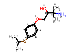 CC(C)Sc1ccc(OCC(O)C(C)(C)N)cc1